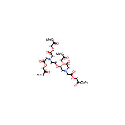 COC(=O)COC(=O)CN(CCOCCN(CC(=O)OCC(=O)OC)CC(=O)OCC(=O)OC)CC(=O)OCC(=O)OC